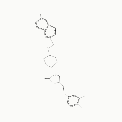 O=C1OC(COc2ccc(Cl)c(F)c2)CN1[C@H]1CC[C@H](NCc2ccc3cc(Cl)ccc3n2)CC1